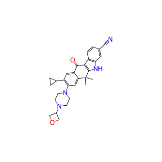 CC1(C)c2cc(N3CCN(C4COC4)CC3)c(C3CC3)cc2C(=O)c2c1[nH]c1cc(C#N)ccc21